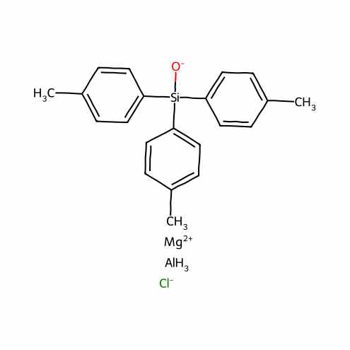 Cc1ccc([Si]([O-])(c2ccc(C)cc2)c2ccc(C)cc2)cc1.[AlH3].[Cl-].[Mg+2]